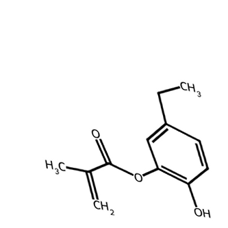 C=C(C)C(=O)Oc1cc(CC)ccc1O